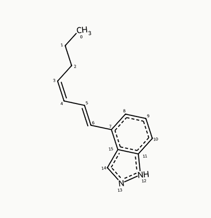 CCC/C=C\C=C\c1cccc2[nH]ncc12